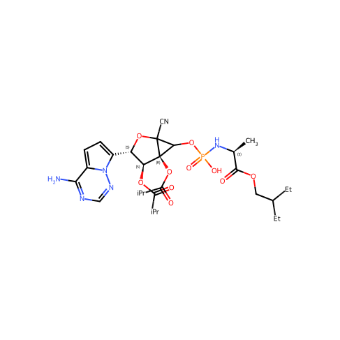 CCC(CC)COC(=O)[C@H](C)NP(=O)(O)OC1C2(C#N)O[C@@H](c3ccc4c(N)ncnn34)[C@H](OC(=O)C(C)C)[C@@]12OC(=O)C(C)C